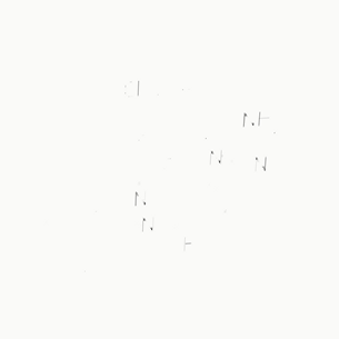 NC1N=CC=C(c2cn(Cc3ccccc3)nc2F)N1c1ccc(Cl)cc1